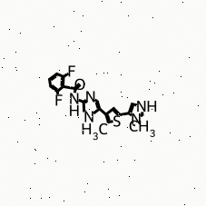 Cc1sc(C2=CNCN2C)cc1-c1cnc(NC(=O)c2c(F)cccc2F)cn1